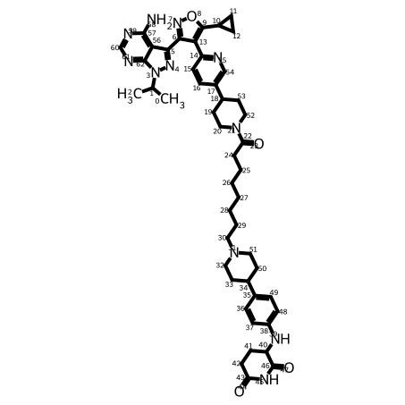 CC(C)n1nc(-c2noc(C3CC3)c2-c2ccc(C3CCN(C(=O)CCCCCCCN4CCC(c5ccc(NC6CCC(=O)NC6=O)cc5)CC4)CC3)cn2)c2c(N)ncnc21